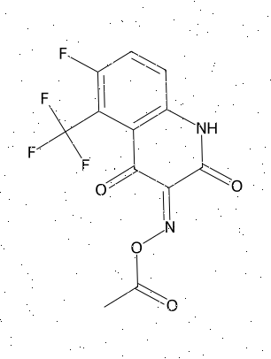 CC(=O)ON=C1C(=O)Nc2ccc(F)c(C(F)(F)F)c2C1=O